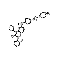 O=C1N(c2ccccc2F)Cc2cnc(Nc3ccc(N4CC(N5CCNCC5)C4)cc3)nc2N1C1CCCC1